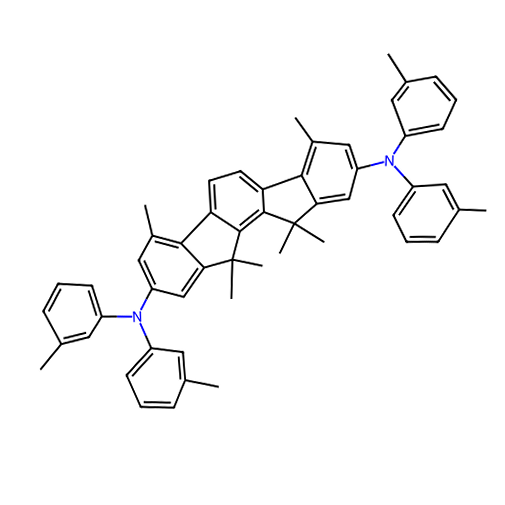 Cc1cccc(N(c2cccc(C)c2)c2cc(C)c3c(c2)C(C)(C)c2c-3ccc3c2C(C)(C)c2cc(N(c4cccc(C)c4)c4cccc(C)c4)cc(C)c2-3)c1